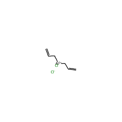 C=C[CH2][Al+2][CH2]C=C.[Cl-].[Cl-]